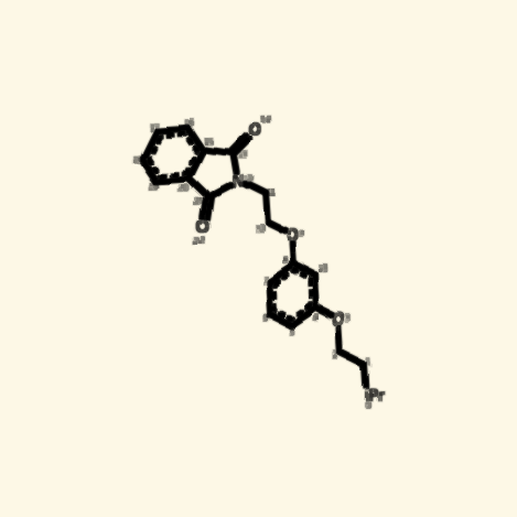 CC(C)CCOc1cccc(OCCN2C(=O)c3ccccc3C2=O)c1